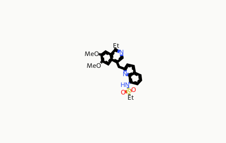 CCc1ncc(Cc2ccc3cccc(NS(=O)(=O)CC)c3n2)c2cc(OC)c(OC)cc12